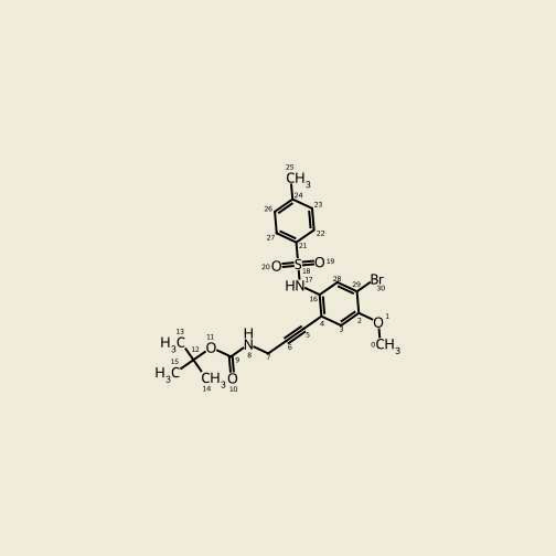 COc1cc(C#CCNC(=O)OC(C)(C)C)c(NS(=O)(=O)c2ccc(C)cc2)cc1Br